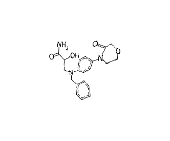 NC(=O)C(O)CN(Cc1ccccc1)c1ccc(N2CCOCC2=O)cc1